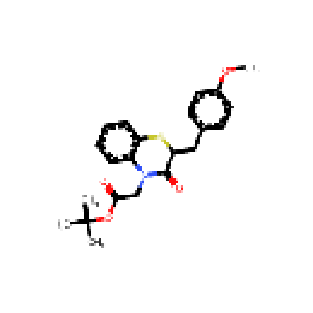 COc1ccc(CC2Sc3ccccc3N(CC(=O)OC(C)(C)C)C2=O)cc1